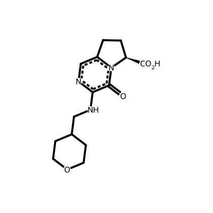 O=C(O)[C@@H]1CCc2cnc(NCC3CCOCC3)c(=O)n21